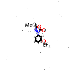 COc1nn(-c2cccc(OC(F)(F)F)c2)c(=O)o1